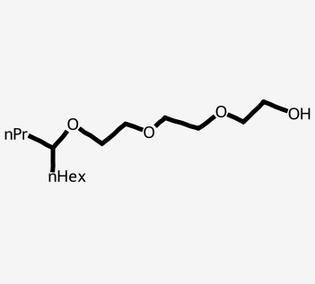 [CH2]CCC(CCCCCC)OCCOCCOCCO